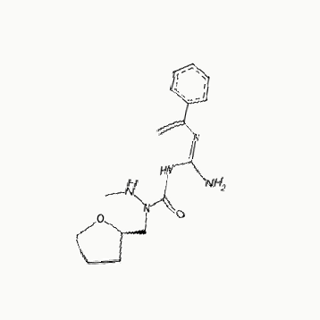 C=C(/N=C(/N)NC(=O)N(C[C@H]1CCCO1)NC)c1ccccc1